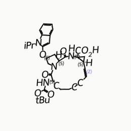 CC(C)n1c(O[C@@H]2C[C@H]3C(=O)N[C@]4(C(=O)O)C[C@H]4/C=C\CCCCC[C@H](NC(=O)OC(C)(C)C)C(=O)N3C2)cc2ccccc21